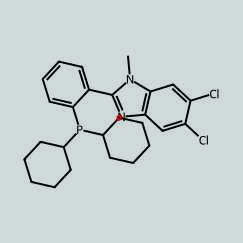 Cn1c(-c2ccccc2P(C2CCCCC2)C2CCCCC2)nc2cc(Cl)c(Cl)cc21